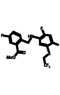 COC(=O)c1cc(F)ccc1CNc1cc(SCC(F)(F)F)c(C)cc1F